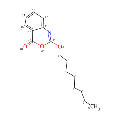 CCCCCCCCOc1nc2ccccc2c(=O)o1